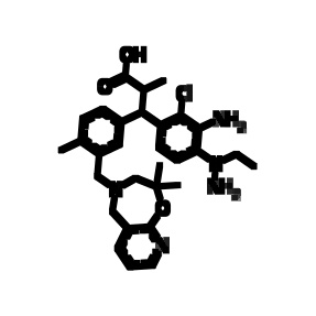 CCN(N)c1ccc(C(c2ccc(C)c(CN3Cc4cccnc4OC(C)(C)C3)c2)C(C)C(=O)O)c(Cl)c1N